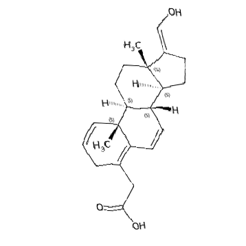 C[C@]12C=CCC(CC(=O)O)=C1C=C[C@@H]1[C@@H]2CC[C@]2(C)C(=CO)CC[C@@H]12